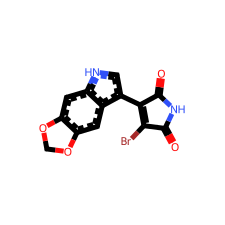 O=C1NC(=O)C(c2c[nH]c3cc4c(cc23)OCO4)=C1Br